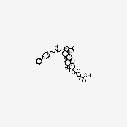 C=C(C)C1CC[C@]2(CCNCCN3CCN(c4ccccc4)CC3)CC[C@]3(C)[C@H](CC[C@@H]4[C@@]5(C)CC[C@H](OC(=O)CC(C)(C)C(=O)O)C(C)(C)[C@@H]5CC[C@]43C)[C@@H]12